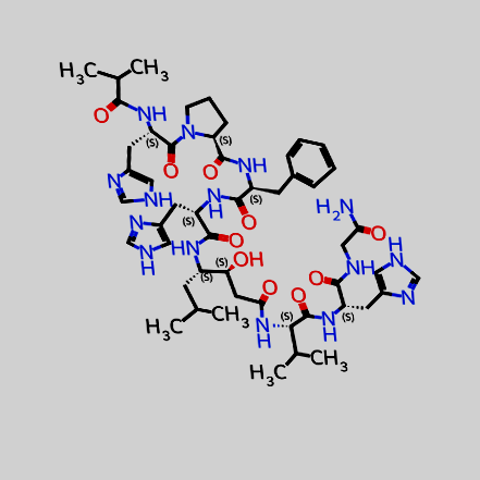 CC(C)C[C@H](NC(=O)[C@H](Cc1c[nH]cn1)NC(=O)[C@H](Cc1ccccc1)NC(=O)[C@@H]1CCCN1C(=O)[C@H](Cc1c[nH]cn1)NC(=O)C(C)C)[C@@H](O)CC(=O)N[C@H](C(=O)N[C@@H](Cc1c[nH]cn1)C(=O)NCC(N)=O)C(C)C